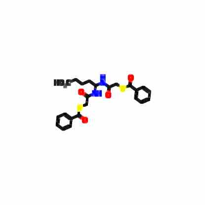 O=C(O)CCCC(NC(=O)CSC(=O)c1ccccc1)NC(=O)CSC(=O)c1ccccc1